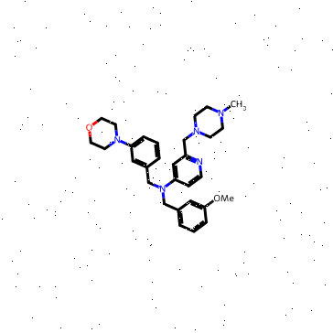 COc1cccc(CN(Cc2cccc(N3CCOCC3)c2)c2ccnc(CN3CCN(C)CC3)c2)c1